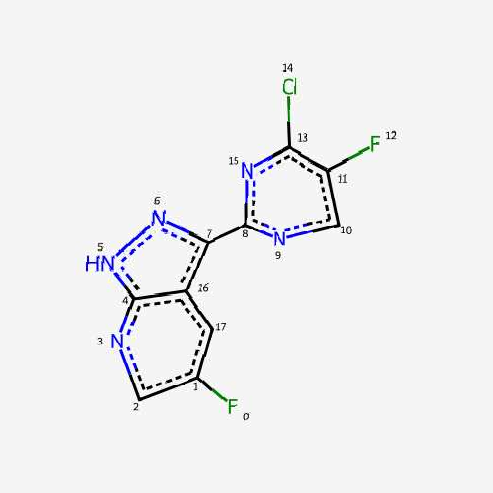 Fc1cnc2[nH]nc(-c3ncc(F)c(Cl)n3)c2c1